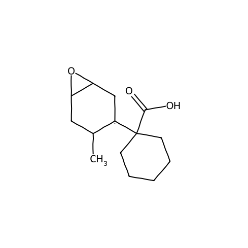 CC1CC2OC2C[C]1C1(C(=O)O)CCCCC1